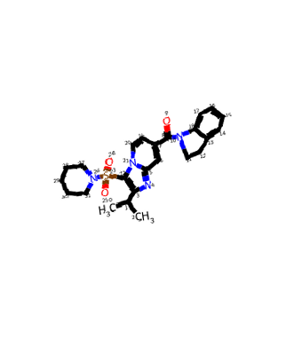 CC(C)c1nc2cc(C(=O)N3CCc4ccccc43)ccn2c1S(=O)(=O)N1CCCCC1